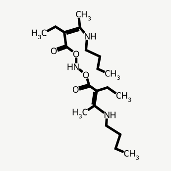 CCCCNC(C)=C(CC)C(=O)ONOC(=O)C(CC)=C(C)NCCCC